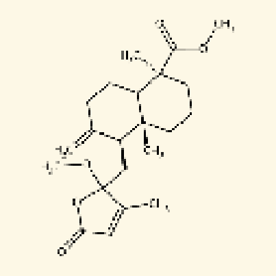 C=C1CCC2[C@](C)(CCC[C@]2(C)C(=O)OC)[C@H]1CC1(OC)OC(=O)C=C1C